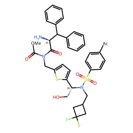 COC(=O)N(Cc1ccc([C@@H](CO)N(CC2CC(F)(F)C2)S(=O)(=O)c2ccc(C(C)=O)cc2)s1)C(=O)[C@@H](N)C(c1ccccc1)c1ccccc1